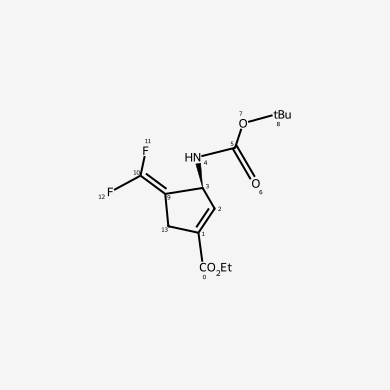 CCOC(=O)C1=C[C@H](NC(=O)OC(C)(C)C)C(=C(F)F)C1